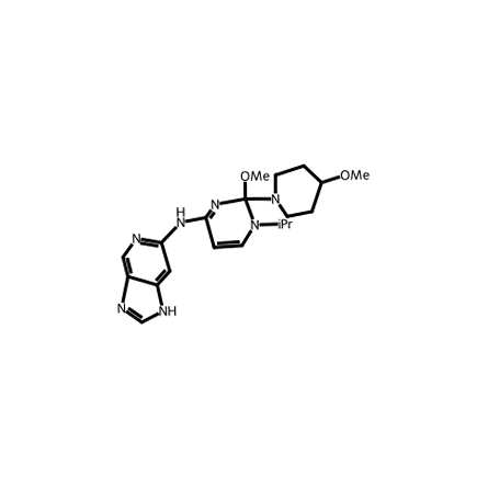 COC1CCN(C2(OC)N=C(Nc3cc4[nH]cnc4cn3)C=CN2C(C)C)CC1